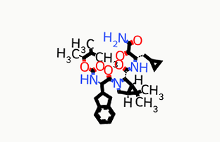 CC(C)[C@@H](C)OC(=O)N[C@H](C(=O)N1C[C@H]2[C@@H]([C@H]1C(=O)N[C@@H](CC1CC1)C(=O)C(N)=O)C2(C)C)C1Cc2ccccc2C1